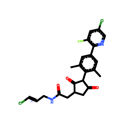 Cc1cc(-c2ncc(Cl)cc2F)cc(C)c1C1C(=O)CC(CC(=O)NC/C=C/Cl)C1=O